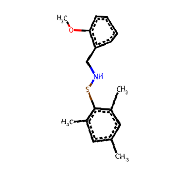 COc1ccccc1CNSc1c(C)cc(C)cc1C